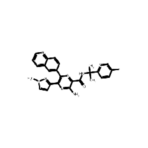 Cn1ccc(-c2nc(N)c(C(=O)NC(C)(C)c3ccc(F)cn3)nc2-c2ccc3ncccc3c2)n1